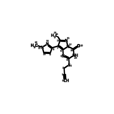 C#CCSc1nc2c(-c3ccn(C)n3)c(C)nn2c(=O)[nH]1